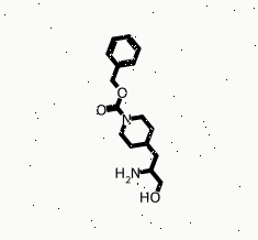 NC(CO)CC1CCN(C(=O)OCc2ccccc2)CC1